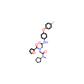 CN(C(=O)CN(CC(=O)Nc1ccc(Oc2ccc(F)cc2)cc1)C(=O)c1ccco1)C1CCCC1